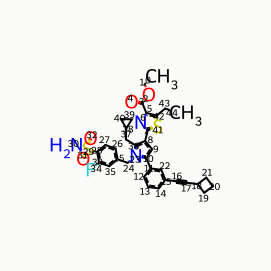 CCOC(=O)c1nc(-c2cc(-c3cccc(C#CC4CCC4)c3)n(Cc3ccc(S(N)(=O)=O)c(F)c3)c2CC2CC2)sc1CC